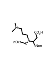 CCCCCCCCCC(CC(=O)O)N(CCCN(C)C)SCCCCCCCC